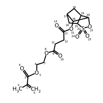 C=C(C)C(=O)OCCOC(=O)CCC(=O)OC1C2CC3C1OS(=O)(=O)C3C2